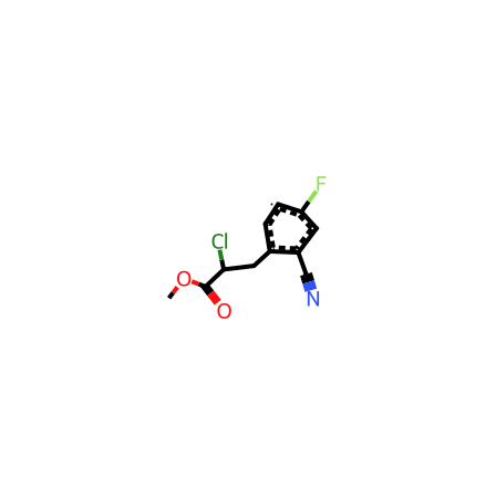 COC(=O)C(Cl)Cc1c[c]c(F)cc1C#N